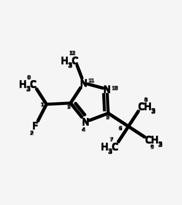 CC(F)c1nc(C(C)(C)C)nn1C